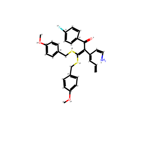 C=C/C=C(\C=C/N)C(C(=O)c1ccc(F)cc1)=C(SCc1ccc(OC)cc1)SCc1ccc(OC)cc1